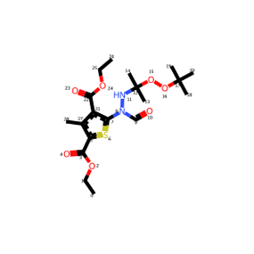 CCOC(=O)c1sc(N(C=O)NC(C)(C)OOC(C)(C)C)c(C(=O)OCC)c1C